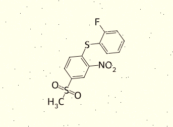 CS(=O)(=O)c1ccc(Sc2ccccc2F)c([N+](=O)[O-])c1